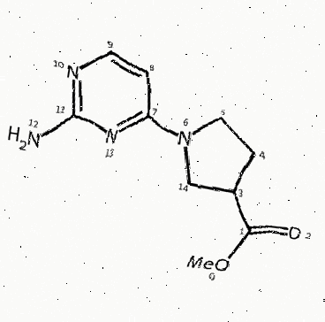 COC(=O)C1CCN(c2ccnc(N)n2)C1